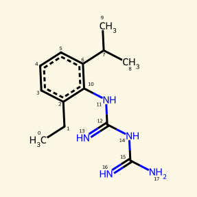 CCc1cccc(C(C)C)c1NC(=N)NC(=N)N